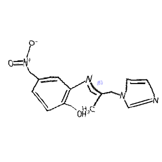 C/C(=N\c1cc([N+](=O)[O-])ccc1O)n1ccnc1